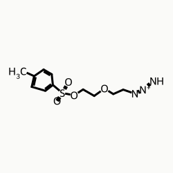 Cc1ccc(S(=O)(=O)OCCOCCN=[N+]=N)cc1